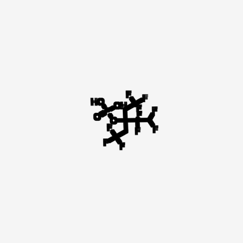 O=P(O)(O)OC(CC(F)(F)F)(CC(F)(F)F)C(F)(F)C(F)F